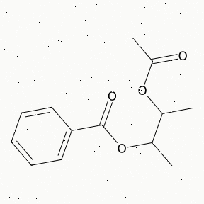 CC(=O)OC(C)C(C)OC(=O)c1ccccc1